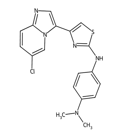 CN(C)c1ccc(Nc2nc(-c3cnc4ccc(Cl)cn34)cs2)cc1